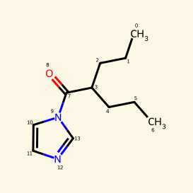 CCCC(CCC)C(=O)n1ccnc1